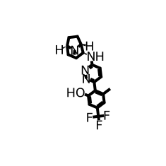 Cc1cc(C(F)(F)F)cc(O)c1-c1ccc(N[C@@H]2CC[C@H]3CC[C@H]2N3C)nn1